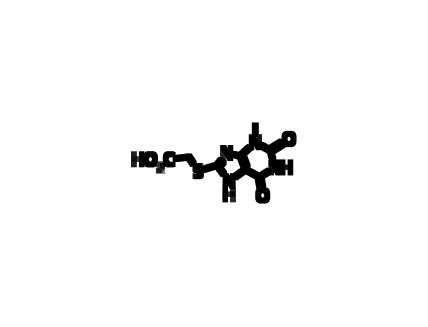 Cn1c(=O)[nH]c(=O)c2[nH]c(SCC(=O)O)nc21